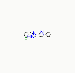 Fc1cccc(Cc2nc(-c3ccc(-c4ccccc4)nc3)c[nH]2)c1